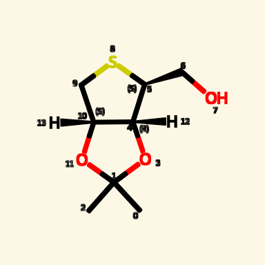 CC1(C)O[C@H]2[C@H](CO)SC[C@H]2O1